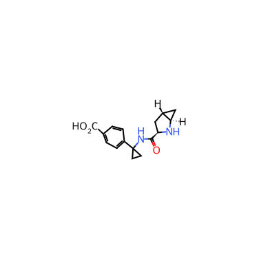 O=C(O)c1ccc(C2(NC(=O)[C@H]3C[C@@H]4C[C@H]4N3)CC2)cc1